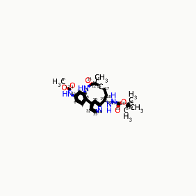 COC(=O)Nc1ccc2c(c1)NC(=O)[C@H](C)CCC[C@H](NNC(=O)OC(C)(C)C)c1cc-2ccn1